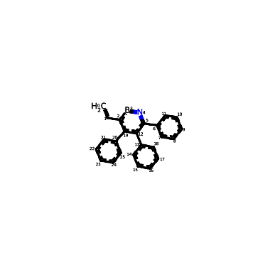 C=Cc1bnc(-c2ccccc2)c(-c2ccccc2)c1-c1ccccc1